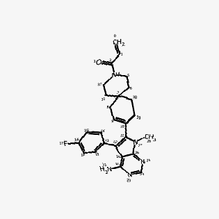 C=CC(=O)N1CCC2(CC=C(c3c(-c4ccc(F)cc4)c4c(N)ncnc4n3C)CC2)CC1